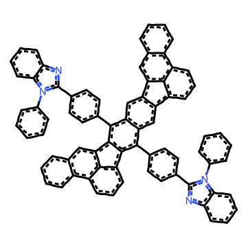 c1ccc(-n2c(-c3ccc(-c4c5cc6c(cc5c(-c5ccc(-c7nc8ccccc8n7-c7ccccc7)cc5)c5c7cc8ccccc8c8cccc(c45)c87)c4cc5ccccc5c5cccc6c54)cc3)nc3ccccc32)cc1